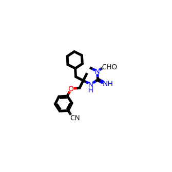 CN(C=O)C(=N)NC(C)(COc1cccc(C#N)c1)CC1CCCCC1